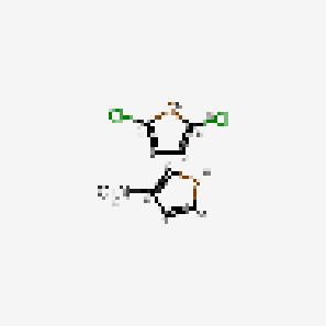 Clc1ccc(Cl)s1.O=[N+]([O-])c1ccsc1